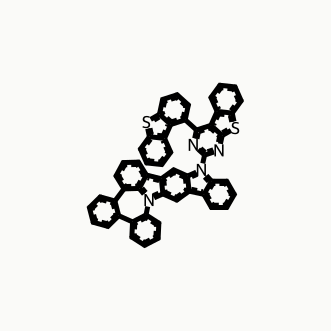 c1ccc2c(c1)-c1ccccc1-n1c3cc4c5ccccc5n(-c5nc(-c6cccc7sc8ccccc8c67)c6c(n5)sc5ccccc56)c4cc3c3cccc-2c31